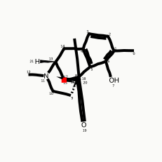 Cc1ccc2c(c1O)[C@]13CCN(C)[C@H](C2)C1CCC(=O)C3